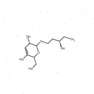 CC[C@@H](O)CCOC1OC(CO)C(O)=CC1O